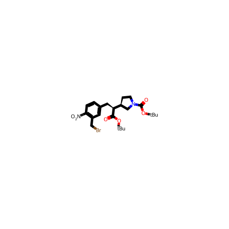 CC(C)(C)OC(=O)[C@@H](Cc1ccc([N+](=O)[O-])c(CBr)c1)[C@H]1CCN(C(=O)OC(C)(C)C)C1